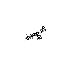 CC(C)c1ccccc1[C@@H]1CCCN1C1CC2(CCN(c3ccc(C(=O)NS(=O)(=O)c4cc5c(c([N+](=O)[O-])c4)N[C@H]([C@H]4CC[C@@H](C)CC4)CO5)c(Oc4cnc5[nH]cc(F)c5c4)c3)CC2)C1